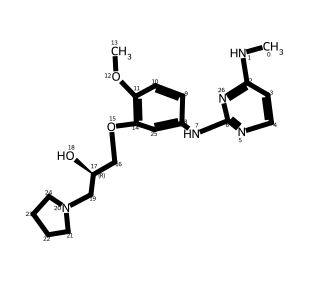 CNc1ccnc(Nc2ccc(OC)c(OC[C@H](O)CN3CCCC3)c2)n1